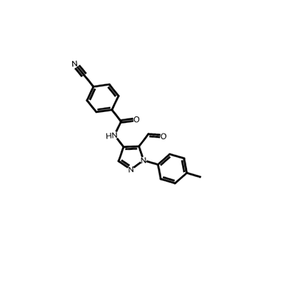 Cc1ccc(-n2ncc(NC(=O)c3ccc(C#N)cc3)c2C=O)cc1